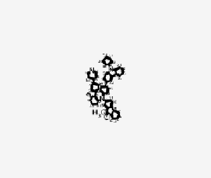 CC1(C)c2ccccc2-c2ccc(N(c3ccc(-c4ccc5c(c4)c4ccccc4n5-c4ccccc4)cc3)c3cccc4sc5cc(-c6ccncc6)ccc5c34)cc21